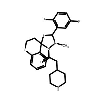 CN1C(c2cc(F)ccc2F)SC2(CCOc3ccccc32)N1C(=O)CC1CCNCC1